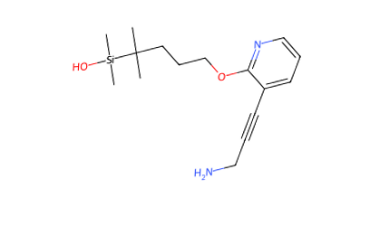 CC(C)(CCCOc1ncccc1C#CCN)[Si](C)(C)O